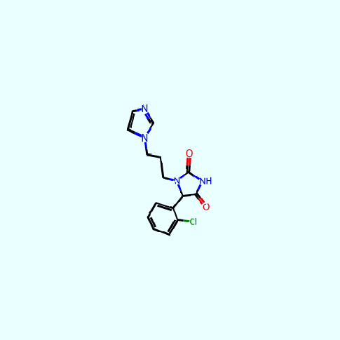 O=C1NC(=O)N(CCCn2ccnc2)C1c1ccccc1Cl